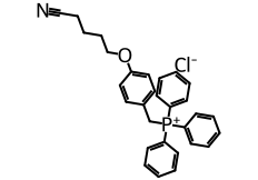 N#CCCCCOc1ccc(C[P+](c2ccccc2)(c2ccccc2)c2ccccc2)cc1.[Cl-]